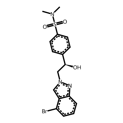 CN(C)S(=O)(=O)c1ccc([C@@H](O)Cn2cc3c(Br)cccc3n2)cc1